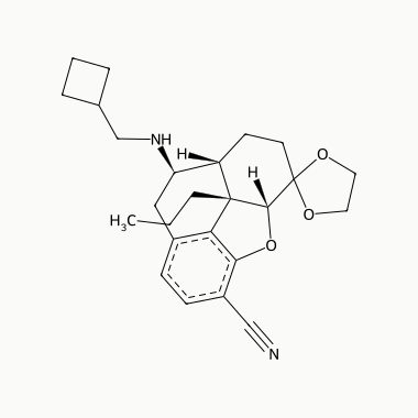 CCC[C@]12c3c4ccc(C#N)c3O[C@H]1C1(CC[C@H]2[C@H](NCC2CCC2)C4)OCCO1